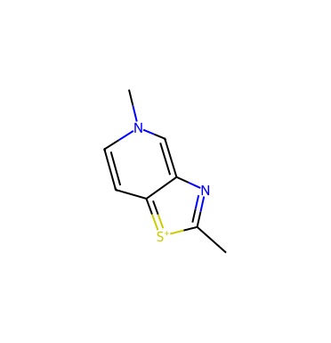 Cc1nc2cn(C)ccc-2[s+]1